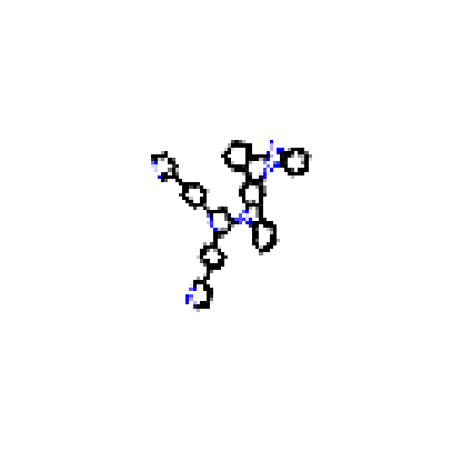 c1cncc(-c2ccc(-c3cc(-n4c5ccccc5c5cc6c(cc54)c4ccccc4c4nc5ccccc5n64)cc(-c4ccc(-c5cccnc5)cc4)n3)cc2)c1